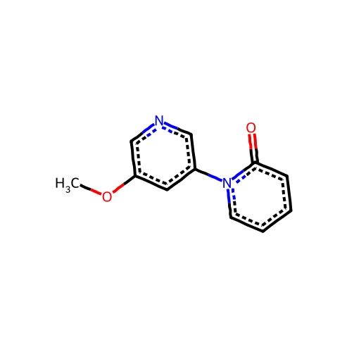 COc1cncc(-n2ccccc2=O)c1